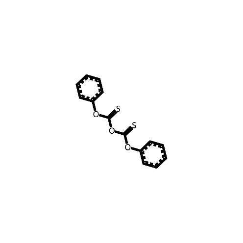 S=C(OC(=S)Oc1ccccc1)Oc1ccccc1